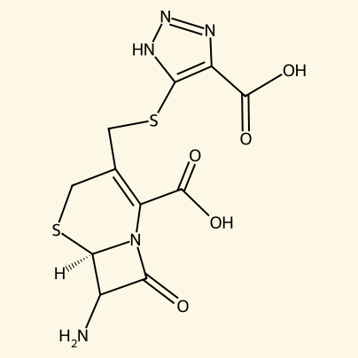 NC1C(=O)N2C(C(=O)O)=C(CSc3[nH]nnc3C(=O)O)CS[C@H]12